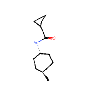 C[C@H]1CC[C@H](NC(=O)C2CC2)CC1